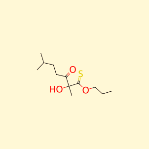 CCCOC(=S)C(C)(O)C(=O)CCC(C)C